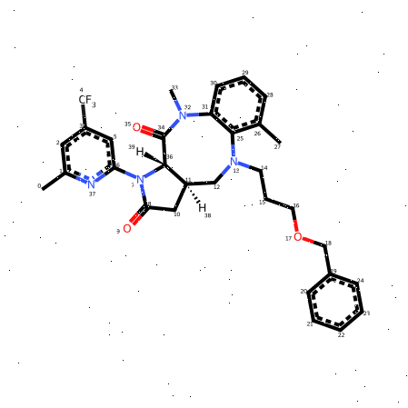 Cc1cc(C(F)(F)F)cc(N2C(=O)C[C@@H]3CN(CCCOCc4ccccc4)c4c(C)cccc4N(C)C(=O)[C@H]32)n1